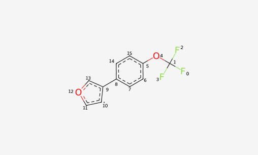 FC(F)(F)Oc1ccc(-c2[c]coc2)cc1